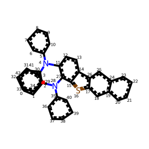 c1ccc(N(c2ccccc2)c2ccc3c(sc4cc5ccccc5cc43)c2N(c2ccccc2)c2ccccc2)cc1